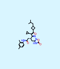 Cc1ccc(NC(=O)C[C@H](Cc2noc(=O)[nH]2)c2noc(C3CC(CC(C)C)C3)c2C2CC2)c(C)c1